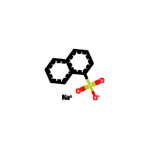 O=S(=O)([O-])c1cccc2ccccc12.[Na+]